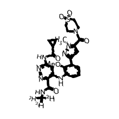 [2H]C([2H])([2H])NC(=O)c1nnc(NC(=O)C2CC2)cc1Nc1cccc(-c2cc(C(=O)N3CCS(=O)(=O)CC3)n(C)n2)c1OC